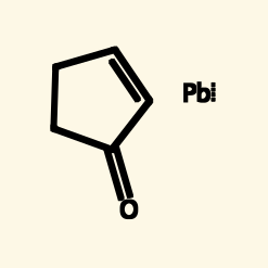 O=C1C=CCC1.[Pb]